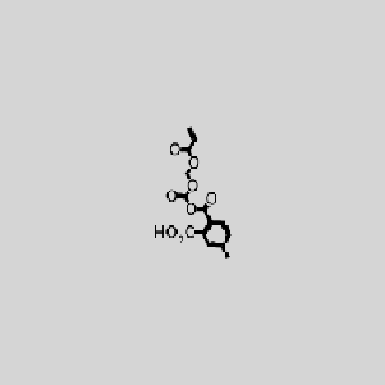 C=CC(=O)OCOC(=O)OC(=O)c1ccc(C)cc1C(=O)O